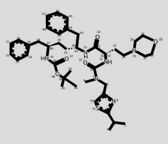 CC(C)c1nc(CN(C)C(=O)N[C@@H](CCN2CCOCC2)C(=O)N[C@H](CC[C@H](Cc2ccccc2)NC(=O)OC(C)(C)C)Cc2ccccc2)cs1